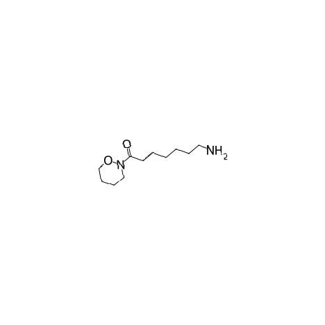 NCCCCCCC(=O)N1CCCCO1